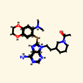 CC(=O)N1CCCC(CCn2c(Sc3cc4c(cc3N(C)C)OCCO4)nc3c(N)ncnc32)C1